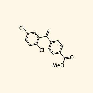 C=C(c1ccc(C(=O)OC)cc1)c1cc(Cl)ccc1Cl